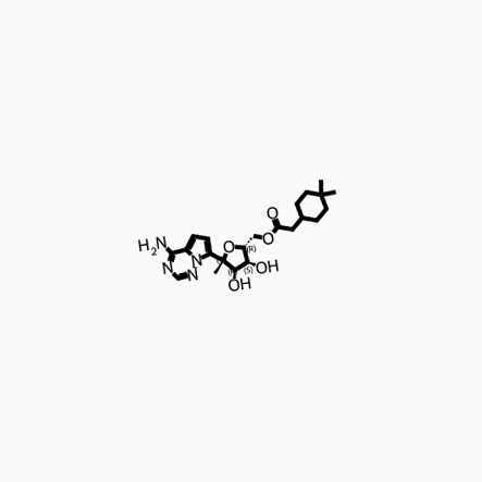 CC1(C)CCC(CC(=O)OC[C@H]2O[C@@](C)(c3ccc4c(N)ncnn34)[C@H](O)[C@@H]2O)CC1